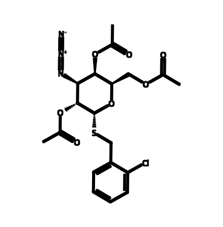 CC(=O)OC[C@H]1O[C@H](SCc2ccccc2Cl)[C@H](OC(C)=O)[C@@H](N=[N+]=[N-])[C@H]1OC(C)=O